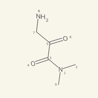 CN(C)C(=O)C(=O)CN